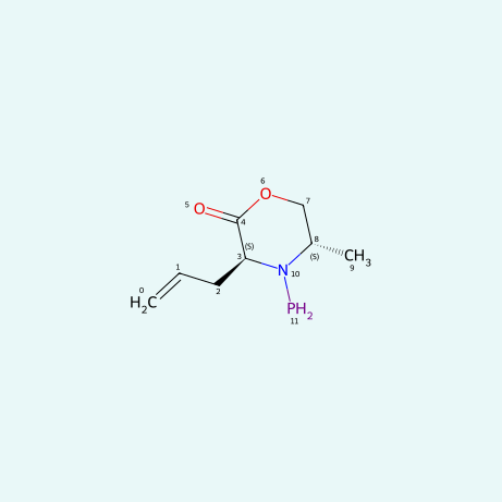 C=CC[C@H]1C(=O)OC[C@H](C)N1P